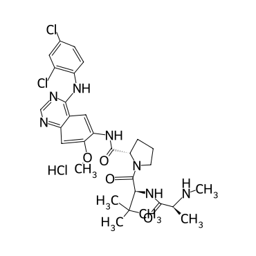 CN[C@@H](C)C(=O)N[C@H](C(=O)N1CCC[C@H]1C(=O)Nc1cc2c(Nc3ccc(Cl)cc3Cl)ncnc2cc1OC)C(C)(C)C.Cl